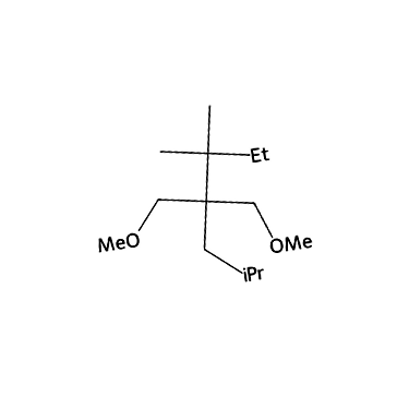 CCC(C)(C)C(COC)(COC)CC(C)C